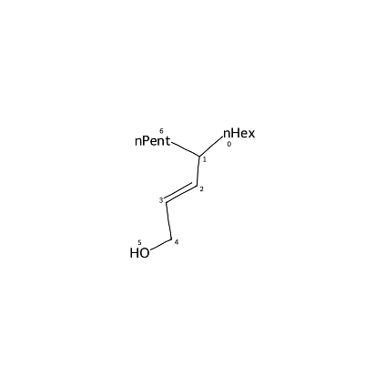 CCCCCCC(/C=C/CO)CCCCC